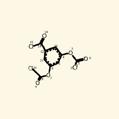 O=C(Cl)Oc1cc(OC(=O)Cl)cc(C(=O)Cl)c1